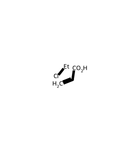 C=CC(=O)O.CCCl